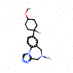 CC(C)OC1CCC(Cl)(c2ccc3c(c2)CN(C)Cc2nncn2-3)CC1